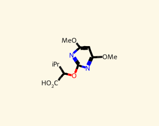 COc1cc(OC)nc(OC(C(=O)O)C(C)C)n1